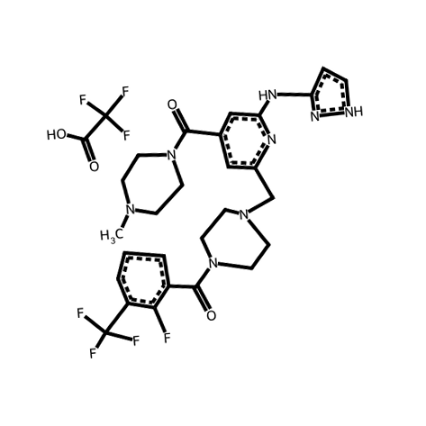 CN1CCN(C(=O)c2cc(CN3CCN(C(=O)c4cccc(C(F)(F)F)c4F)CC3)nc(Nc3cc[nH]n3)c2)CC1.O=C(O)C(F)(F)F